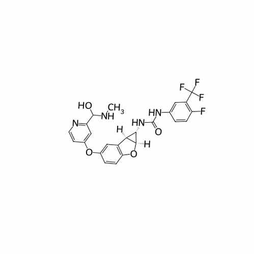 CNC(O)c1cc(Oc2ccc3c(c2)[C@H]2[C@H](NC(=O)Nc4ccc(F)c(C(F)(F)F)c4)[C@H]2O3)ccn1